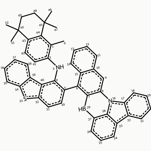 Cc1c(Nc2c(-c3c4c(cc5ccccc35)-n3c5ccccc5c5cccc(c53)B4)ccc3sc4ccccc4c23)ccc2c1C(C)(C)CCC2(C)C